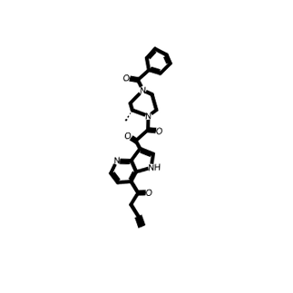 C#CCC(=O)c1ccnc2c(C(=O)C(=O)N3CCN(C(=O)c4ccccc4)C[C@H]3C)c[nH]c12